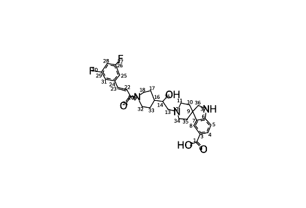 O=C(O)c1ccc2c(c1)C1(CCN(CC(O)C3CCN(C(=O)C=Cc4cc(F)cc(F)c4)CC3)CC1)CN2